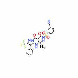 Cc1[nH]c2c(-c3ccccc3)c(C(F)(F)F)nn2c(=O)c1C(=O)NS(=O)(=O)c1cc#cc(C#N)c1